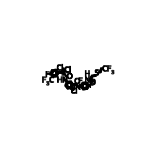 O=C(CCSCCC(F)(F)F)Nc1c(F)ccc(NC(=O)c2cc(NC(=O)[C@H]3C(c4ccc(F)c(C(F)(F)F)c4)C3(Cl)Cl)ccc2Cl)c1F